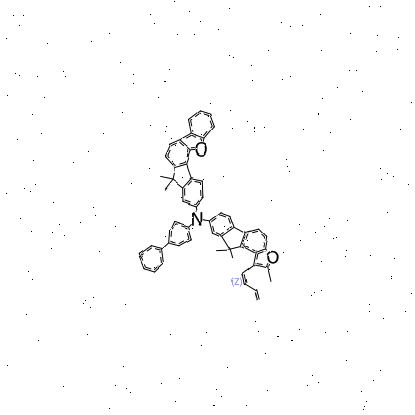 C=C/C=C\c1c(C)oc2ccc3c(c12)C(C)(C)c1cc(N(c2ccc(-c4ccccc4)cc2)c2ccc4c(c2)C(C)(C)c2ccc5c(oc6ccccc65)c2-4)ccc1-3